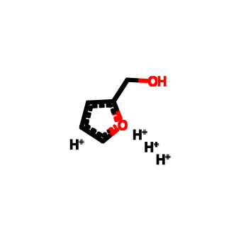 OCc1ccco1.[H+].[H+].[H+].[H+]